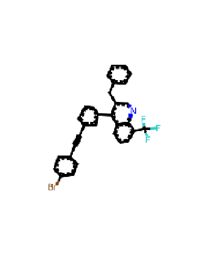 FC(F)(F)c1cccc2c(-c3cccc(C#Cc4ccc(Br)cc4)c3)c(Cc3ccccc3)cnc12